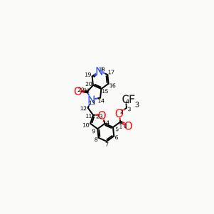 O=C(OCC(F)(F)F)c1cccc2cc(CN3Cc4ccncc4C3=O)oc12